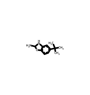 CC(C)(C)c1ccc2c(c1)NC(N)O2